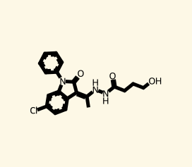 C/C(NNC(=O)CCCO)=C1/C(=O)N(c2ccccc2)c2cc(Cl)ccc21